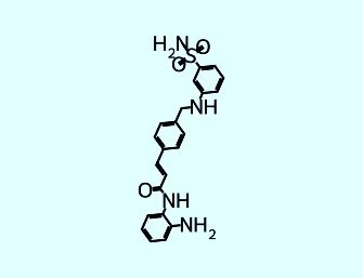 Nc1ccccc1NC(=O)C=Cc1ccc(CNc2cccc(S(N)(=O)=O)c2)cc1